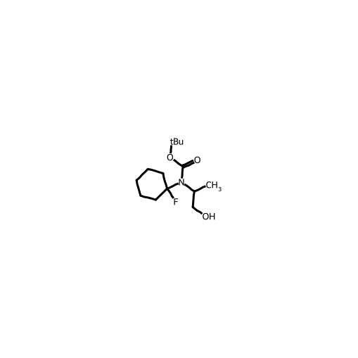 CC(CO)N(C(=O)OC(C)(C)C)C1(F)CCCCC1